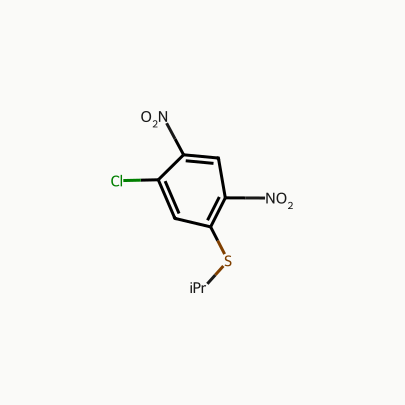 CC(C)Sc1cc(Cl)c([N+](=O)[O-])cc1[N+](=O)[O-]